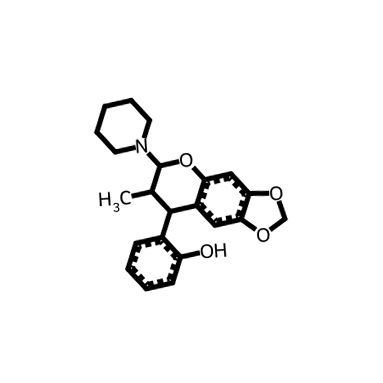 CC1C(c2ccccc2O)c2cc3c(cc2OC1N1CCCCC1)OCO3